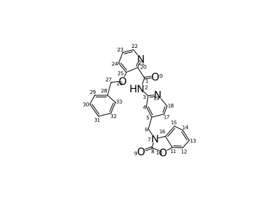 O=C(Nc1cc(Cn2c(=O)oc3ccccc32)ccn1)c1ncccc1OCc1ccccc1